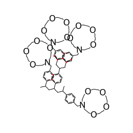 CC(CC(CC(C)c1ccc(CN2CCOCCOCCOCCOCC2)cc1)c1ccc(C(CC(C)c2ccc(CN3CCOCCOCCOCCOCC3)cc2)CC(C)c2ccc(CN3CCOCCOCCOCCOCC3)cc2)cc1)c1ccc(CN2CCOCCOCCOCCOCC2)cc1